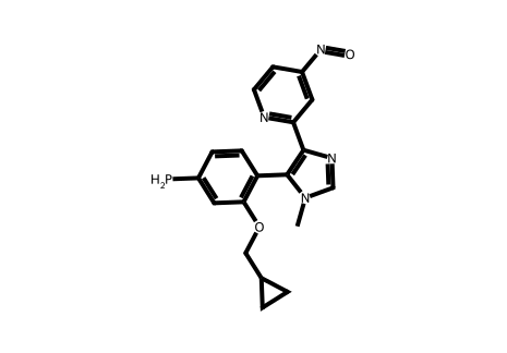 Cn1cnc(-c2cc(N=O)ccn2)c1-c1ccc(P)cc1OCC1CC1